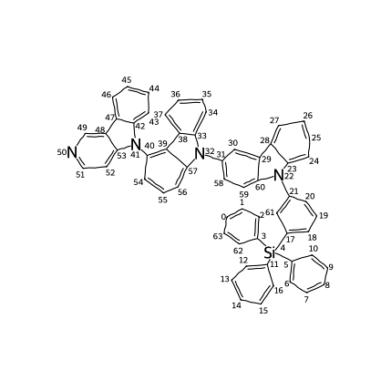 c1ccc([Si](c2ccccc2)(c2ccccc2)c2cccc(-n3c4ccccc4c4cc(-n5c6ccccc6c6c(-n7c8ccccc8c8cnccc87)cccc65)ccc43)c2)cc1